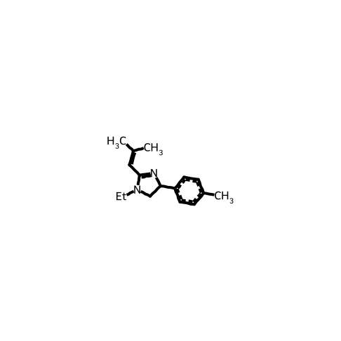 CCN1CC(c2ccc(C)cc2)N=C1C=C(C)C